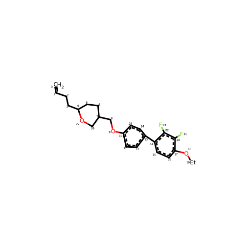 C=CCCC1CCC(COc2ccc(-c3ccc(OCC)c(F)c3F)cc2)CO1